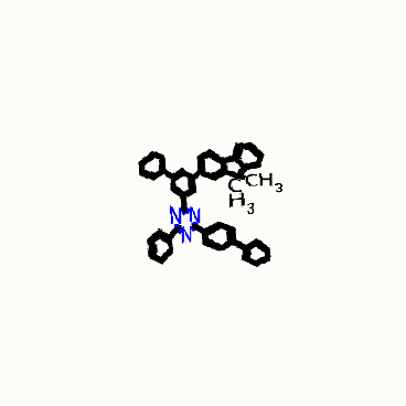 CC1(C)c2ccccc2-c2ccc(-c3cc(-c4ccccc4)cc(-c4nc(-c5ccccc5)nc(-c5ccc(-c6ccccc6)cc5)n4)c3)cc21